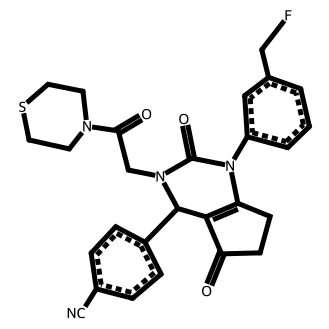 N#Cc1ccc(C2C3=C(CCC3=O)N(c3cccc(CF)c3)C(=O)N2CC(=O)N2CCSCC2)cc1